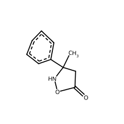 CC1(c2ccccc2)CC(=O)ON1